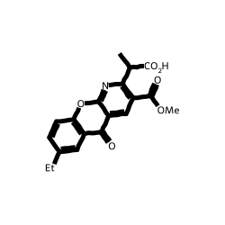 CCc1ccc2oc3nc(C(C)C(=O)O)c(C(=O)OC)cc3c(=O)c2c1